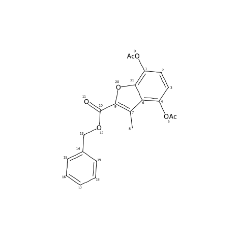 CC(=O)Oc1ccc(OC(C)=O)c2c(C)c(C(=O)OCc3ccccc3)oc12